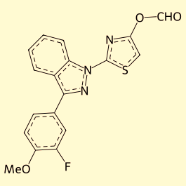 COc1ccc(-c2nn(-c3nc(OC=O)cs3)c3ccccc23)cc1F